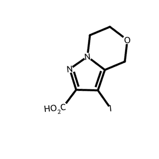 O=C(O)c1nn2c(c1I)COCC2